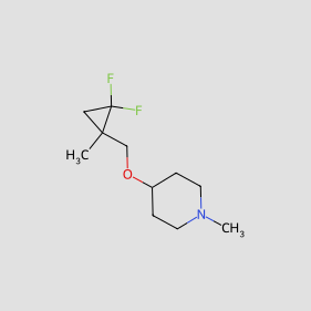 CN1CCC(OCC2(C)CC2(F)F)CC1